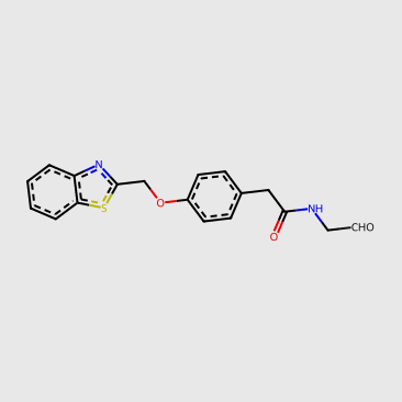 O=CCNC(=O)Cc1ccc(OCc2nc3ccccc3s2)cc1